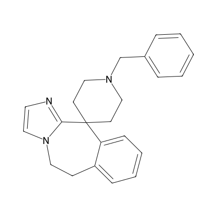 c1ccc(CN2CCC3(CC2)c2ccccc2CCn2ccnc23)cc1